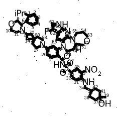 CC(C)c1ccccc1[C@@H]1COCCN1C1CC2(CCN(c3ccc(C(=O)NS(=O)(=O)c4ccc(NCC5CCC(C)(O)CC5)c([N+](=O)[O-])c4)c(N4CC[C@H]5COCCCN5c5nc6[nH]cc(F)c6cc54)c3)CC2)C1